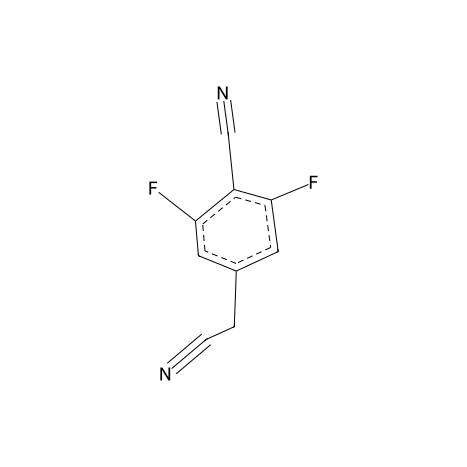 N#CCc1cc(F)c(C#N)c(F)c1